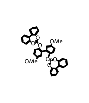 COc1ccc(Op2oc3ccccc3c3ccccc3o2)c(-c2cc(OC)ccc2Op2oc3ccccc3c3ccccc3o2)c1